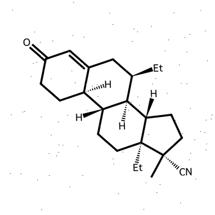 CC[C@@H]1CC2=CC(=O)CC[C@@H]2[C@H]2CC[C@@]3(CC)[C@@H](CC[C@]3(C)C#N)[C@H]12